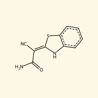 N#CC(C(N)=O)=C1Nc2ccccc2S1